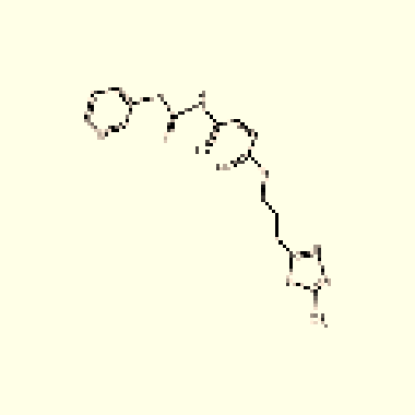 Cc1nnc(CCCCC(=N)/C=C\C(=N)NC(=O)Cc2cccnc2)s1